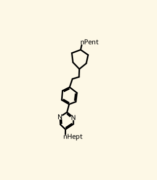 CCCCCCCc1cnc(-c2ccc(CCC3CCC(CCCCC)CC3)cc2)nc1